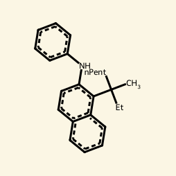 CCCCCC(C)(CC)c1c(Nc2ccccc2)ccc2ccccc12